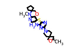 C[C@H]1CC2(CCN(c3cnc(Sc4ccnc5c4OCC4(CCCC4)N5C)c(N)n3)CC2)CO1